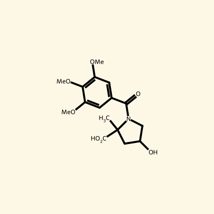 COc1cc(C(=O)N2CC(O)CC2(C)C(=O)O)cc(OC)c1OC